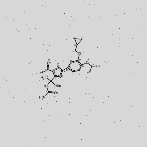 CC(C)(C)C(C)(OC(N)=O)c1oc(-c2ccc(OC(F)F)c(OCC3CC3)c2)nc1C(=O)F